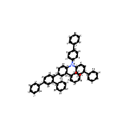 c1ccc(-c2ccc(N(c3ccc(-c4ccccc4)cc3)c3ccc(-c4ccc(-c5ccccc5)cc4-c4ccccc4)cc3-c3ccccc3)cc2)cc1